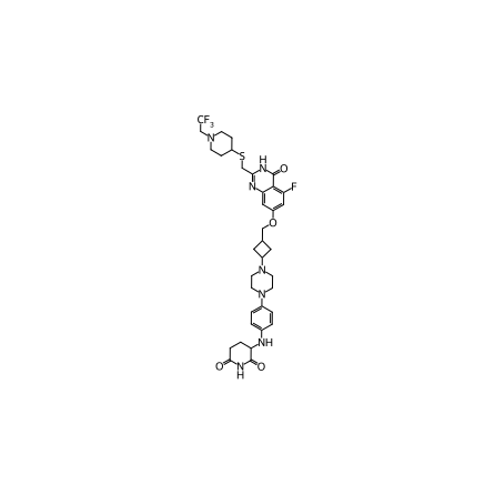 O=C1CCC(Nc2ccc(N3CCN(C4CC(COc5cc(F)c6c(=O)[nH]c(CSC7CCN(CC(F)(F)F)CC7)nc6c5)C4)CC3)cc2)C(=O)N1